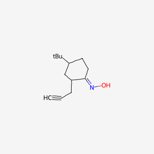 C#CCC1CC(C(C)(C)C)CCC1=NO